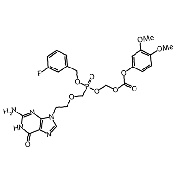 COc1ccc(OC(=O)OCOP(=O)(COCCn2cnc3c(=O)[nH]c(N)nc32)OCc2cccc(F)c2)cc1OC